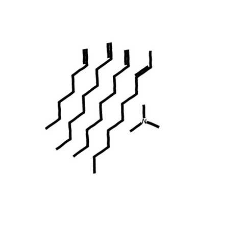 C=CCCCCC.C=CCCCCCCC.C=CCCCCCCC.CC=CCCCCCCC.CN(C)C